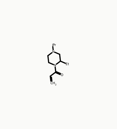 C=CC(=O)N1CCN(C(C)C)CC1CC